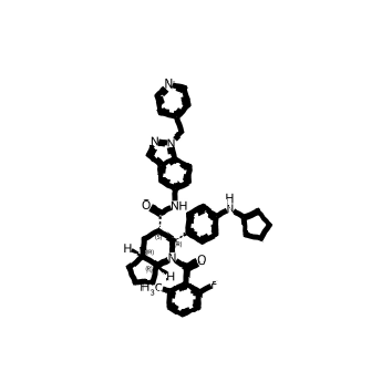 Cc1cccc(F)c1C(=O)N1[C@@H]2CCC[C@@H]2C[C@H](C(=O)Nc2ccc3c(cnn3Cc3ccncc3)c2)[C@@H]1c1ccc(NC2CCCC2)cc1